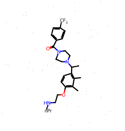 CCCNCCOc1ccc(C(C)N2CCN(C(=O)c3ccc(C(F)(F)F)cc3)CC2)c(C)c1C